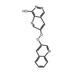 Oc1nncc2cc(OOc3cnc4ccccc4c3)cnc12